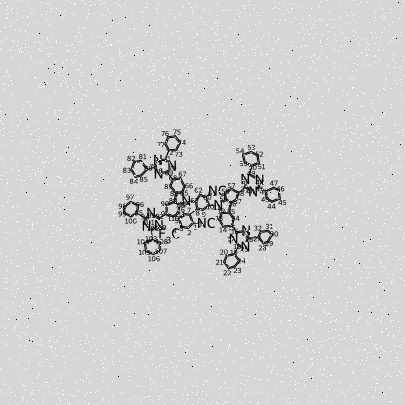 [C-]#[N+]c1cc(C(F)(F)F)ccc1-c1cc(-n2c3ccc(-c4nc(-c5ccccc5)nc(-c5ccccc5)n4)cc3c3cc(-c4nc(-c5ccccc5)nc(-c5ccccc5)n4)ccc32)c([N+]#[C-])cc1-n1c2ccc(-c3nc(-c4ccccc4)nc(-c4ccccc4)n3)cc2c2cc(-c3nc(-c4ccccc4)nc(-c4ccccc4)n3)ccc21